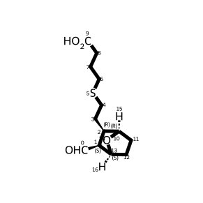 O=C[C@H]1[C@@H](CCSCCCC(=O)O)[C@H]2CC[C@@H]1O2